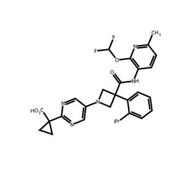 Cc1ccc(NC(=O)C2(c3ccccc3C(C)C)CN(c3cnc(C4(C(=O)O)CC4)nc3)C2)c(OC(F)F)n1